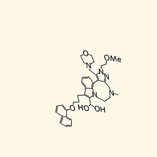 COCCn1nc2c(c1CN1CCOCC1)-c1cccc3c(CCCOc4cccc5ccccc45)c(C(O)O)n(c13)CCCN(C)C2